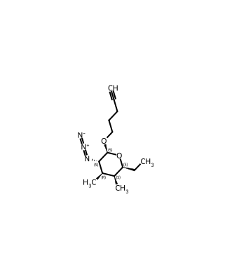 C#CCCCO[C@H]1O[C@@H](CC)[C@@H](C)[C@@H](C)[C@@H]1N=[N+]=[N-]